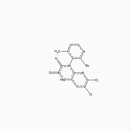 Cc1ccnc(C(C)C)c1-n1c(=O)c(=O)[nH]c2cc(Cl)c(Cl)nc21